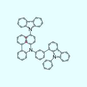 c1ccc(-c2ccccc2N(c2ccc(-n3c4ccccc4c4ccccc43)cc2)c2cccc(-c3cccc4c5ccccc5n(-c5ccccc5)c34)c2)cc1